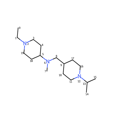 CCN1CCC(N(C)CC2CCN(C(C)C)CC2)CC1